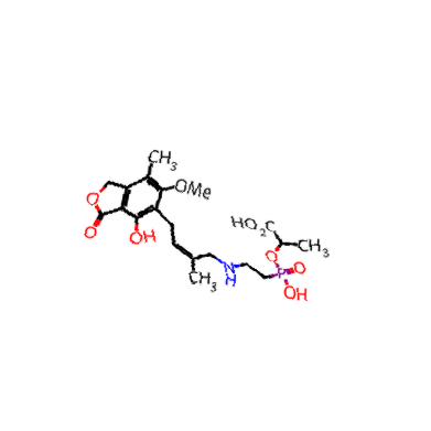 COc1c(C)c2c(c(O)c1CC=C(C)CNCCP(=O)(O)OC(C)C(=O)O)C(=O)OC2